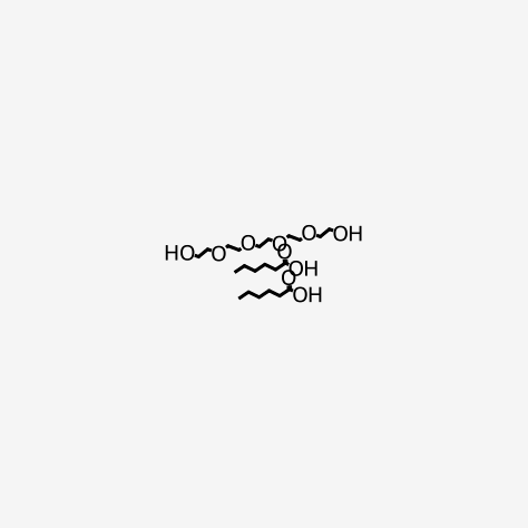 CCCCCC(=O)O.CCCCCC(=O)O.OCCOCCOCCOCCOCCO